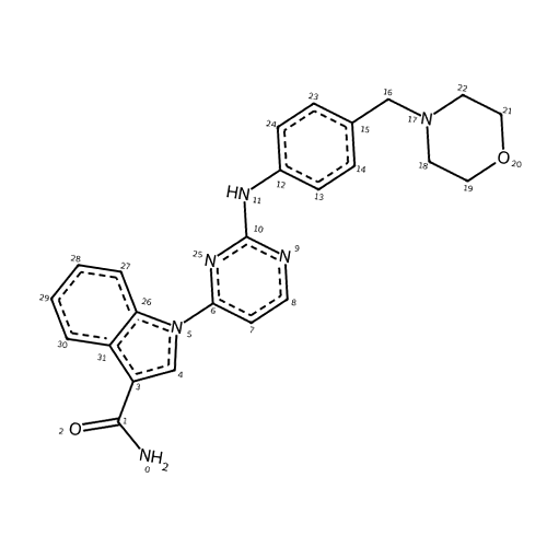 NC(=O)c1cn(-c2ccnc(Nc3ccc(CN4CCOCC4)cc3)n2)c2ccccc12